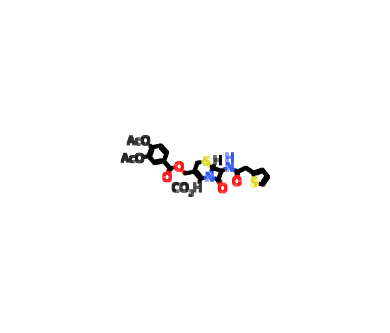 CC(=O)Oc1ccc(C(=O)OCC2=C(C(=O)O)N3C(=O)C(NC(=O)Cc4cccs4)[C@H]3SC2)cc1OC(C)=O